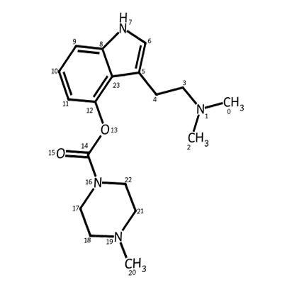 CN(C)CCc1c[nH]c2cccc(OC(=O)N3CCN(C)CC3)c12